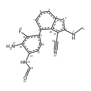 CNc1sc2cccc(-c3ccc(NC=O)c(N)c3F)c2c1C#N